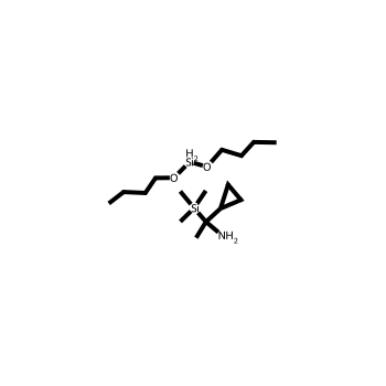 CC(N)(C1CC1)[Si](C)(C)C.CCCCO[SiH2]OCCCC